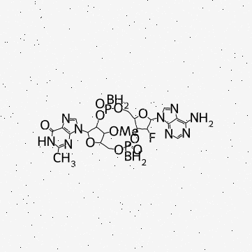 B[P@]1(=O)OCC2OC(n3cnc4c(=O)[nH]c(C)nc43)C(O[P@@](B)(=O)OCC3OC(n4cnc5c(N)ncnc54)C(F)C3O1)C2OC